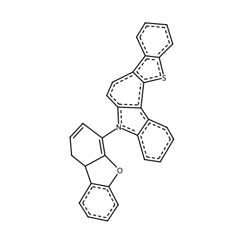 C1=CC(n2c3ccccc3c3c4sc5ccccc5c4ccc32)=C2Oc3ccccc3C2C1